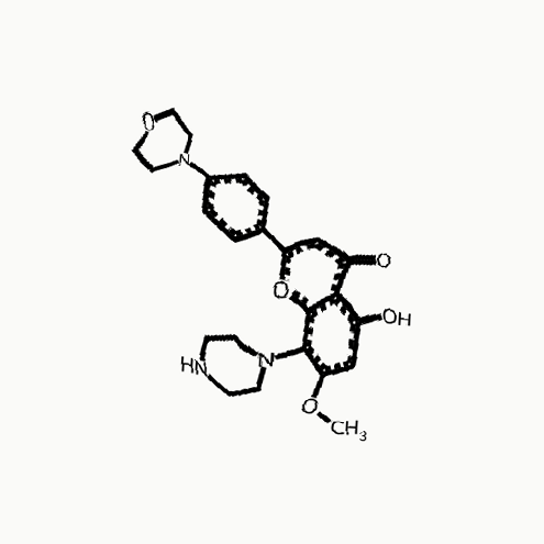 COc1cc(O)c2c(=O)cc(-c3ccc(N4CCOCC4)cc3)oc2c1N1CCNCC1